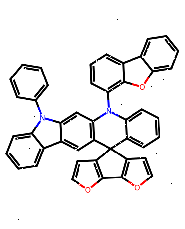 c1ccc(-n2c3ccccc3c3cc4c(cc32)N(c2cccc3c2oc2ccccc23)c2ccccc2C42c3ccoc3-c3occc32)cc1